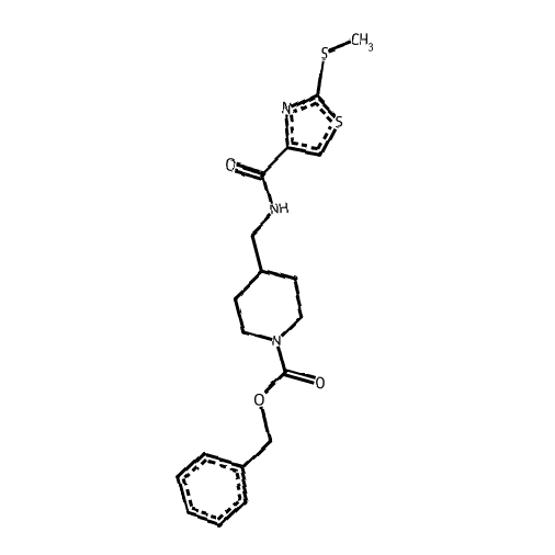 CSc1nc(C(=O)NCC2CCN(C(=O)OCc3ccccc3)CC2)cs1